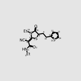 CCNC(=O)/C(C#N)=C1\SC(CCc2cccs2)C(=O)N1CC